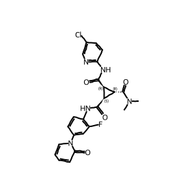 CN(C)C(=O)[C@H]1[C@H](C(=O)Nc2ccc(Cl)cn2)[C@@H]1C(=O)Nc1ccc(-n2ccccc2=O)cc1F